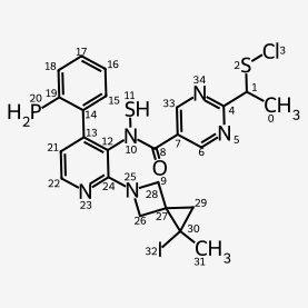 CC(SCl)c1ncc(C(=O)N(S)c2c(-c3ccccc3P)ccnc2N2CC3(C2)CC3(C)I)cn1